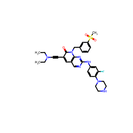 CCN(C#Cc1cc2cnc(Nc3ccc(N4CCNCC4)c(F)c3)nc2n(Cc2cccc(S(C)(=O)=O)c2)c1=O)CC